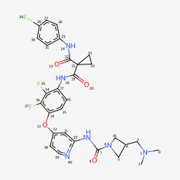 CN(C)CC1CN(C(=O)Nc2cc(Oc3ccc(NC(=O)C4(C(=O)Nc5ccc(F)cc5)CC4)c(F)c3F)ccn2)C1